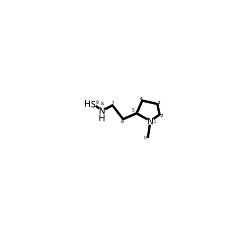 CN1CCCC1CCNS